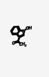 CC(=O)c1cn(O)c2ccccc12